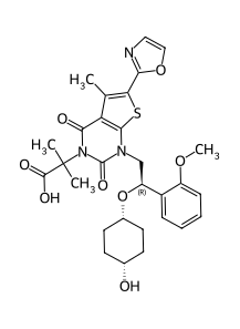 COc1ccccc1[C@H](Cn1c(=O)n(C(C)(C)C(=O)O)c(=O)c2c(C)c(-c3ncco3)sc21)O[C@H]1CC[C@@H](O)CC1